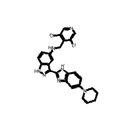 Clc1cncc(Cl)c1CNc1ccc2[nH]nc(-c3nc4cc(N5CCCCC5)ccc4[nH]3)c2c1